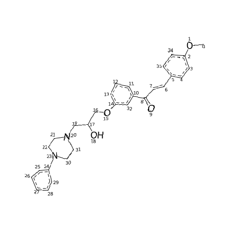 COc1ccc(C=CC(=O)c2cccc(OCC(O)CN3CCN(c4ccccc4)CC3)c2)cc1